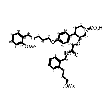 COCCCc1ccccc1CNC(=O)COC1CN(C(=O)O)CCC1c1ccc(OCCCOCc2ccccc2OC)cc1